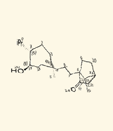 CC(C)[C@@H]1CC[C@@](C)([CH]CC23CCC(CC2=O)C3(C)C)C[C@H]1O